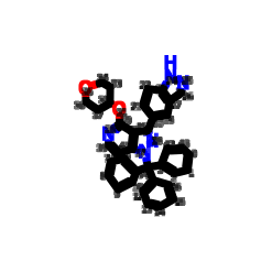 c1ccc(C(c2ccccc2)(c2ccccc2)n2nc(-c3ccc4[nH]ncc4c3)c3c(OC4CCOCC4)nccc32)cc1